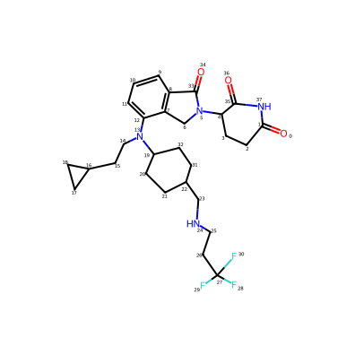 O=C1CCC(N2Cc3c(cccc3N(CCC3CC3)C3CCC(CNCCC(F)(F)F)CC3)C2=O)C(=O)N1